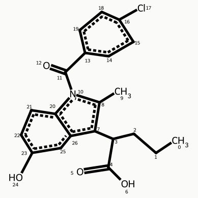 CCCC(C(=O)O)c1c(C)n(C(=O)c2ccc(Cl)cc2)c2ccc(O)cc12